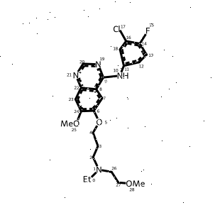 CCN(CCCOc1cc2c(Nc3ccc(F)c(Cl)c3)ncnc2cc1OC)CCOC